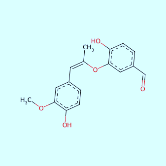 COc1cc(C=C(C)Oc2cc(C=O)ccc2O)ccc1O